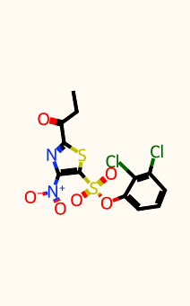 CCC(=O)c1nc([N+](=O)[O-])c(S(=O)(=O)Oc2cccc(Cl)c2Cl)s1